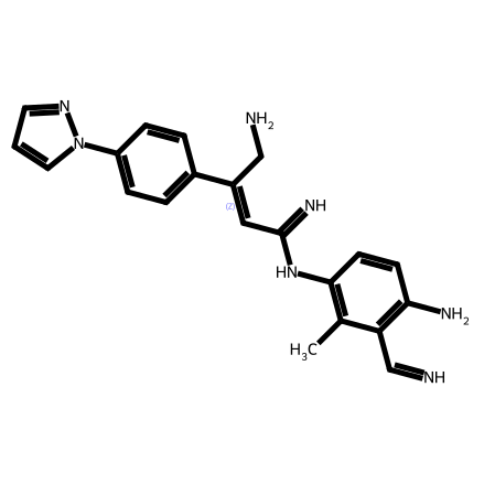 Cc1c(NC(=N)/C=C(\CN)c2ccc(-n3cccn3)cc2)ccc(N)c1C=N